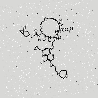 O=C(N[C@H]1CCCCC/C=C\[C@@H]2C[C@@]2(C(=O)O)NC(=O)[C@@H]2C[C@@H](Oc3cc(C4CC4)nc4c(Cl)c(OCCN5CCOCC5)ccc34)CN2C1=O)O[C@@H]1CC2C[C@@H]2C1